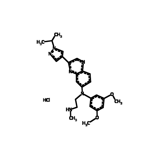 CNCCN(c1cc(OC)cc(OC)c1)c1ccc2ncc(-c3cnn(C(C)C)c3)nc2c1.Cl